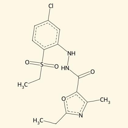 CCc1nc(C)c(C(=O)NNc2cc(Cl)ccc2S(=O)(=O)CC)o1